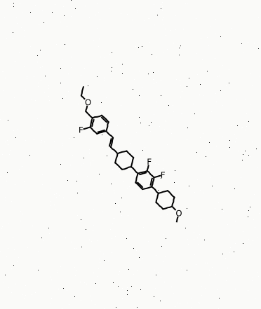 CCOCc1ccc(/C=C/C2CCC(c3ccc(C4CCC(OC)CC4)c(F)c3F)CC2)cc1F